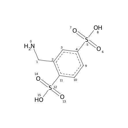 NCc1cc(S(=O)(=O)O)ccc1S(=O)(=O)O